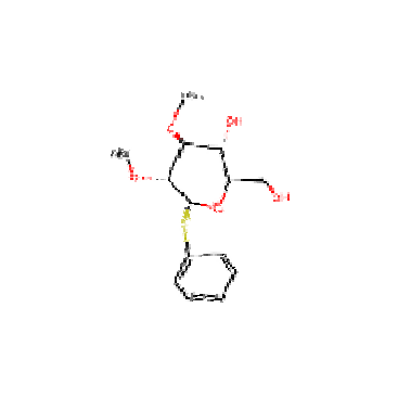 CCCCO[C@@H]1[C@@H](OCCCC)[C@H](O)[C@@H](CO)O[C@H]1Sc1ccccc1